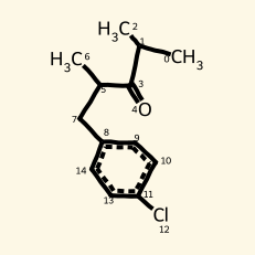 CC(C)C(=O)C(C)Cc1ccc(Cl)cc1